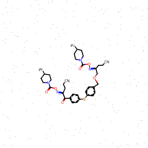 CC(C)C1CCN(C(=O)O/N=C(\CCC#N)COCc2ccc(Sc3ccc(C(=O)/C(CCC#N)=N/OC(=O)N4CCC(C(C)C)CC4)cc3)cc2)CC1